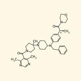 Cc1ncnc(C)c1C(=O)N1CCC(C)(N2CCC(N(Cc3ccccc3)c3ccc([C@H](C)C(=O)N4CCOCC4)cc3)CC2)CC1